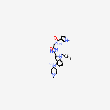 CN1CCC(Nc2cccc3c2cc(-c2noc(CNC(=O)c4ccn(C)c4)n2)n3CC(F)(F)F)CC1